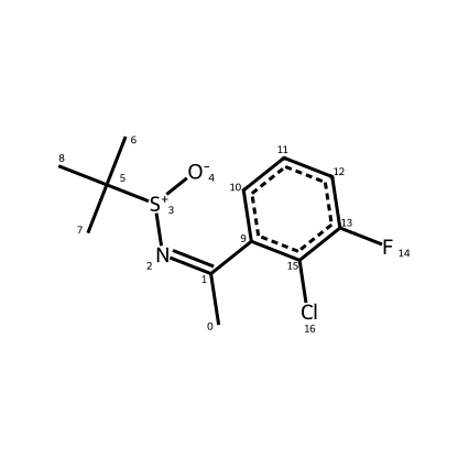 C/C(=N/[S+]([O-])C(C)(C)C)c1cccc(F)c1Cl